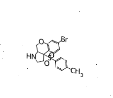 Cc1ccc(S(=O)(=O)C23CCNC2COc2cc(Br)ccc23)cc1